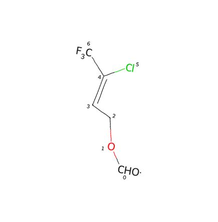 O=[C]OCC=C(Cl)C(F)(F)F